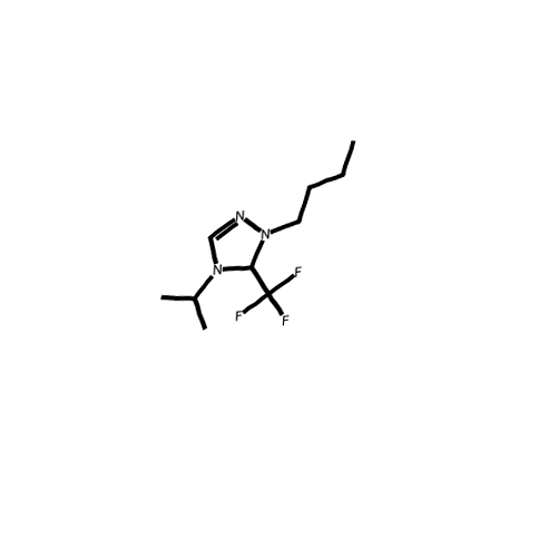 CCCCN1N=CN(C(C)C)C1C(F)(F)F